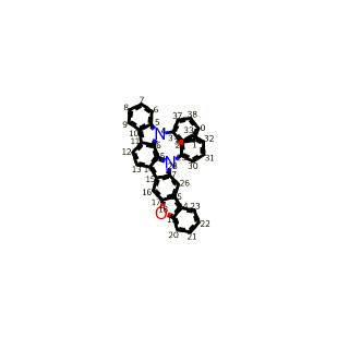 c1ccc(-n2c3ccccc3c3ccc4c5cc6oc7ccccc7c6cc5n(-c5ccccc5)c4c32)cc1